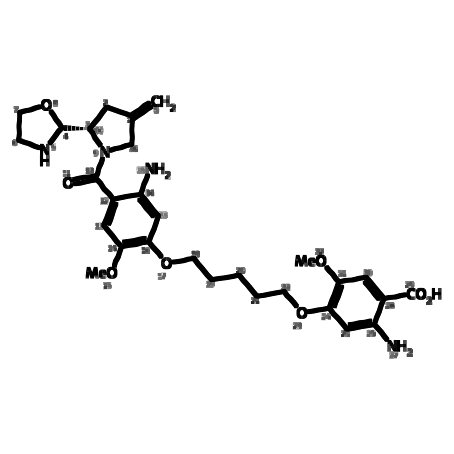 C=C1C[C@@H](C2NCCO2)N(C(=O)c2cc(OC)c(OCCCCCOc3cc(N)c(C(=O)O)cc3OC)cc2N)C1